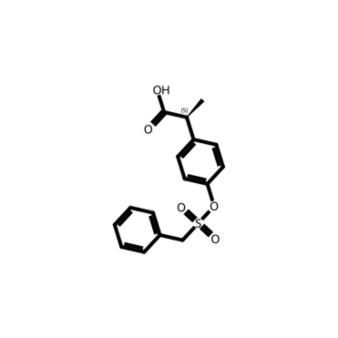 C[C@H](C(=O)O)c1ccc(OS(=O)(=O)Cc2ccccc2)cc1